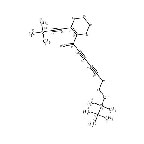 CC(C)(C)[Si](C)(C)OCCC#CC#CC(=O)C1=C(C#C[Si](C)(C)C)CCCC1